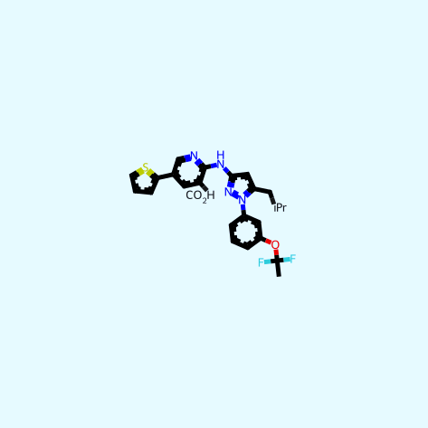 CC(C)Cc1cc(Nc2ncc(-c3cccs3)cc2C(=O)O)nn1-c1cccc(OC(C)(F)F)c1